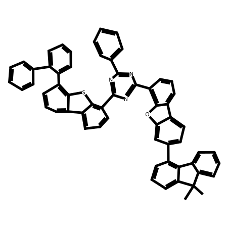 CC1(C)c2ccccc2-c2c(-c3ccc4c(c3)oc3c(-c5nc(-c6ccccc6)nc(-c6cccc7c6sc6c(-c8ccccc8-c8ccccc8)cccc67)n5)cccc34)cccc21